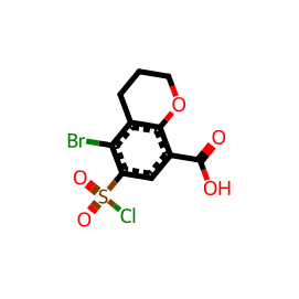 O=C(O)c1cc(S(=O)(=O)Cl)c(Br)c2c1OCCC2